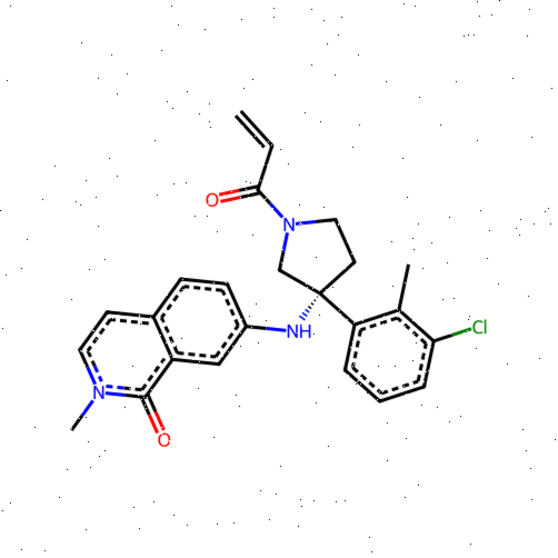 C=CC(=O)N1CC[C@@](Nc2ccc3ccn(C)c(=O)c3c2)(c2cccc(Cl)c2C)C1